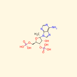 C[C@@]1(n2cnc3c(N)ncnc32)O[C@H](COP(=O)(O)O)[C@@H](OP(=O)(O)O)[C@H]1O